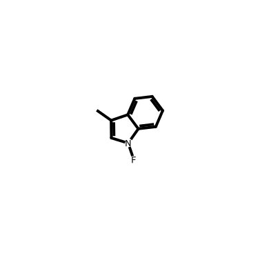 Cc1cn(F)c2ccccc12